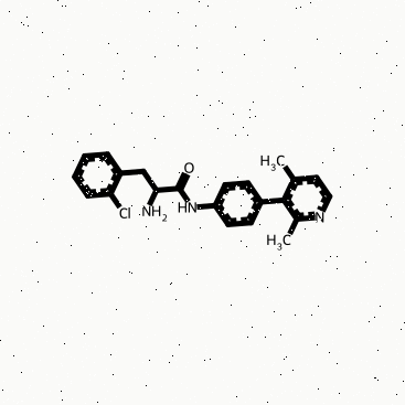 Cc1ccnc(C)c1-c1ccc(NC(=O)C(N)Cc2ccccc2Cl)cc1